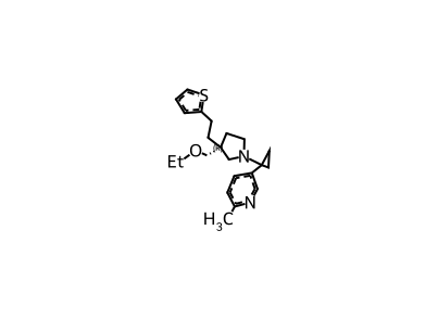 CCOC[C@]1(CCc2cccs2)CCN(C2(c3ccc(C)nc3)CC2)C1